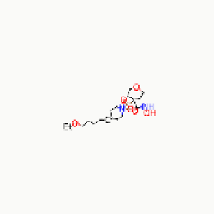 CCOCCCCCC1CCN(S(=O)(=O)C2(C(=O)NO)CCOCC2)CC1